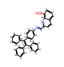 Oc1cccc2ccc(C=Nc3ccc(C(=C(c4ccccc4)c4ccccc4)c4ccccc4)cc3)nc12